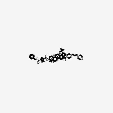 CC1([C@@H]2CC[C@]3(C(=O)N4CCN(CCCN5CCOCC5)CC4)CC[C@]4(C)[C@H](CC[C@@H]5[C@@]6(C)CC[C@H](OC(=O)[C@H]7C[C@@H](C(=O)OCc8ccccc8)C7(C)C)C(C)(C)[C@@H]6CC[C@]54C)[C@@H]23)CC1